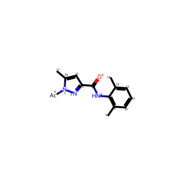 CC(=O)n1nc(C(=O)Nc2c(C)cccc2C)cc1C